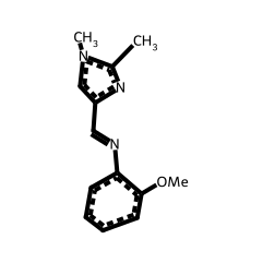 COc1ccccc1N=Cc1cn(C)c(C)n1